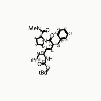 CNC(=O)[C@@H]1CCCN1C(=O)[C@H](/C=C/[C@H](CC(C)C)NC(=O)OC(C)(C)C)Cc1ccccc1